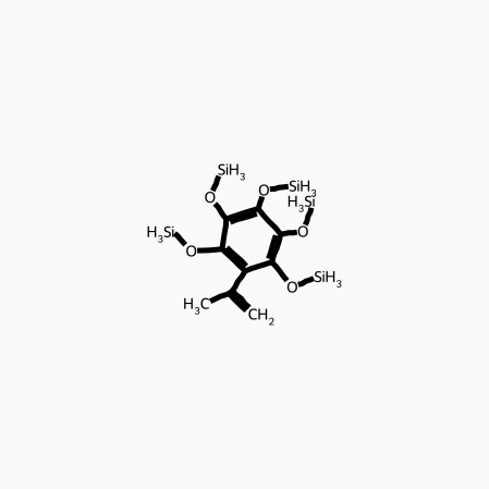 C=C(C)c1c(O[SiH3])c(O[SiH3])c(O[SiH3])c(O[SiH3])c1O[SiH3]